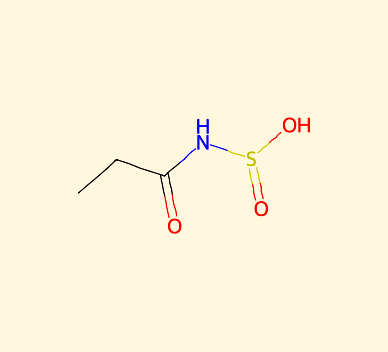 CCC(=O)NS(=O)O